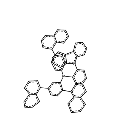 c1ccc(-n2c3ccccc3c3ccccc32)c(N(c2ccc(-c3cccc4ccccc34)cc2)c2cc(-c3cccc4ccccc34)ccc2-c2cccc3ccccc23)c1